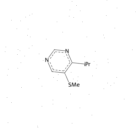 CSc1cncnc1C(C)C